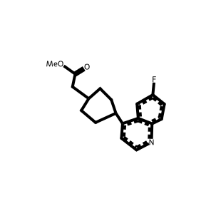 COC(=O)CC1CCC(c2ccnc3ccc(F)cc23)CC1